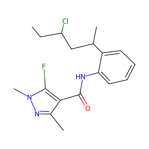 CCC(Cl)CC(C)c1ccccc1NC(=O)c1c(C)nn(C)c1F